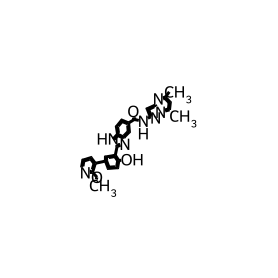 COc1ncccc1-c1ccc(O)c(-c2nc3cc(C(=O)Nc4cc5nc(C)cc(C)n5n4)ccc3[nH]2)c1